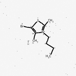 CCCC[n+]1c(C)sc(Br)c1C.[I-]